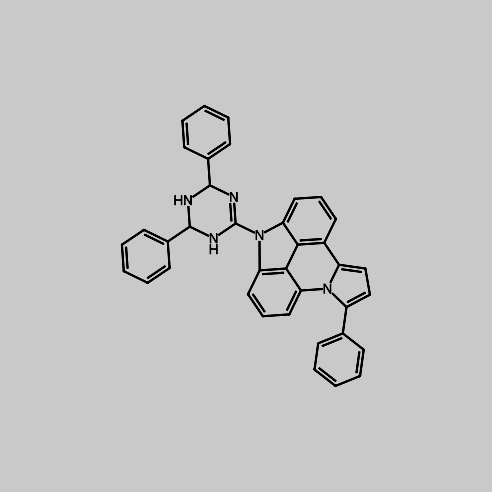 c1ccc(-c2ccc3c4cccc5c4c4c(cccc4n23)n5C2=NC(c3ccccc3)NC(c3ccccc3)N2)cc1